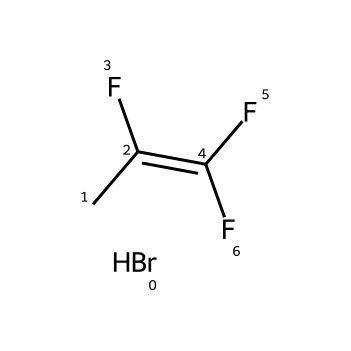 Br.CC(F)=C(F)F